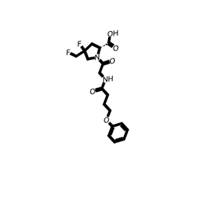 O=C(CCCOc1ccccc1)NCC(=O)N1CC(F)(CF)C[C@@H]1C(=O)O